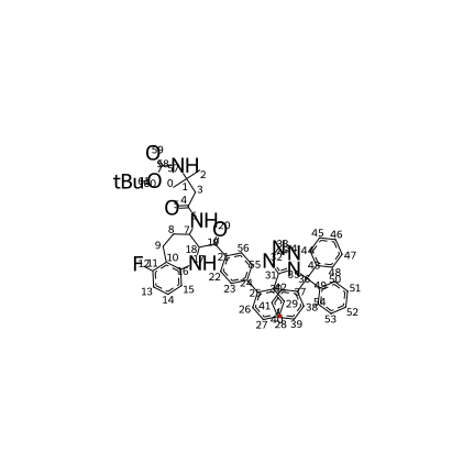 CC(C)(CC(=O)NC1CCc2c(F)cccc2NC1C(=O)c1ccc(-c2ccccc2-c2nnnn2C(c2ccccc2)(c2ccccc2)c2ccccc2)cc1)NC(=O)OC(C)(C)C